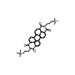 C[N+](C)(C)CCCN1C(=O)c2ccc3c4ccc5c6c(ccc(c7ccc(c2c37)C1=O)c64)C(=O)N(CCC[N+](C)(C)C)C5=O